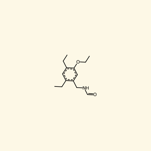 CCOc1cc(CNC=O)c(CC)cc1CC